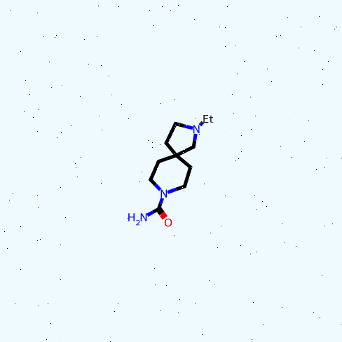 CCN1CCC2(CCN(C(N)=O)CC2)C1